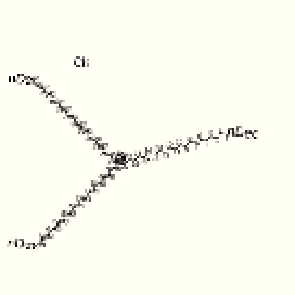 CCCCCCCCCCCCCCCCCCCCCCCCCCCCCCC[C]([Bi])(CCCCCCCCCCCCCCCCCCCCCCCCCCCCCCC)CCCCCCCCCCCCCCCCCCCCCCCCCCCCCCC.[Cl-]